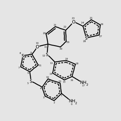 Nc1ccc(Sc2csc(OC3(Sc4ccc(N)cc4)C=CC(Oc4cccs4)=CC3)c2)cc1